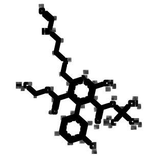 CCOC(=O)c1c(CSCCNC=O)nc(C)c(C(=O)OC(C)(C)C)c1-c1cccc(Cl)c1